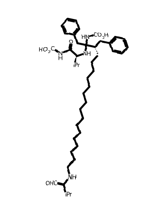 CC(C)C(C=O)NCCCCCCCCCCCCCCCC[C@@H](Cc1ccccc1)C(Cc1ccccc1)(NC(=O)O)N[C@H](C(=O)NC(=O)O)C(C)C